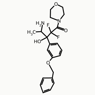 CC(N)C(O)(c1cccc(OCc2ccccc2)c1)C(F)(F)C(=O)N1CCOCC1